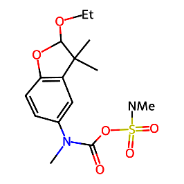 CCOC1Oc2ccc(N(C)C(=O)OS(=O)(=O)NC)cc2C1(C)C